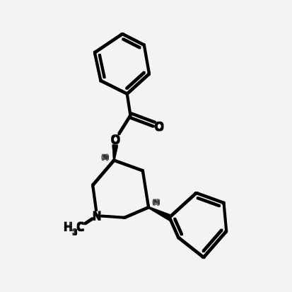 CN1C[C@@H](OC(=O)c2ccccc2)C[C@@H](c2ccccc2)C1